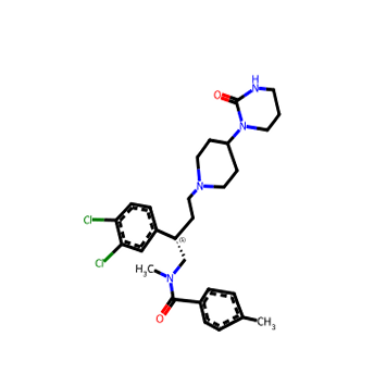 Cc1ccc(C(=O)N(C)C[C@@H](CCN2CCC(N3CCCNC3=O)CC2)c2ccc(Cl)c(Cl)c2)cc1